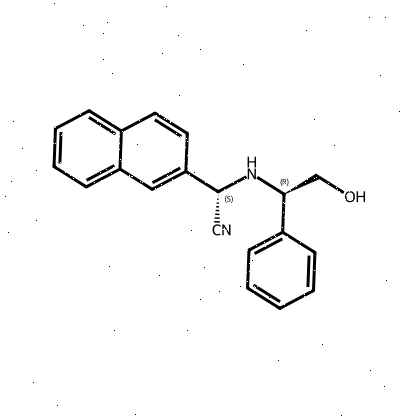 N#C[C@@H](N[C@@H](CO)c1ccccc1)c1ccc2ccccc2c1